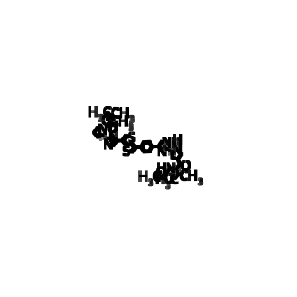 COC(=O)N[C@H](C(=O)C1CN[C@H](c2nc(-c3ccc(-c4csc5c(-c6cnc([C@@H]7CCCN7C(=O)OC(C)(C)C)[nH]6)csc45)cc3)c[nH]2)C1)C(C)C